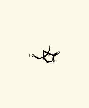 O=C1NC[C@]2(CO)C[C@H]12